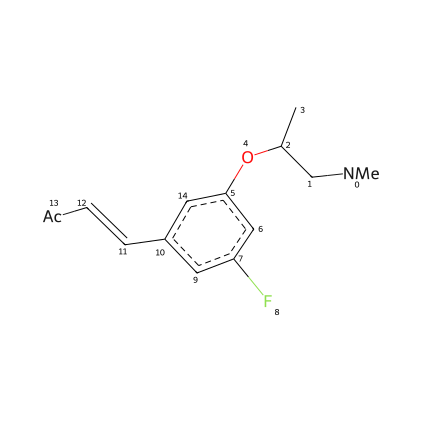 CNCC(C)Oc1cc(F)cc(/C=C/C(C)=O)c1